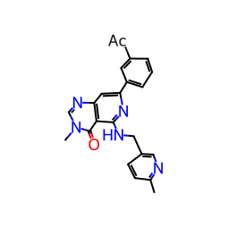 CC(=O)c1cccc(-c2cc3ncn(C)c(=O)c3c(NCc3ccc(C)nc3)n2)c1